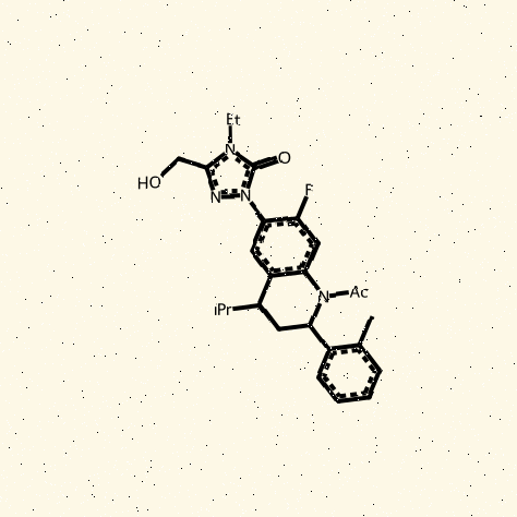 CCn1c(CO)nn(-c2cc3c(cc2F)N(C(C)=O)C(c2ccccc2C)CC3C(C)C)c1=O